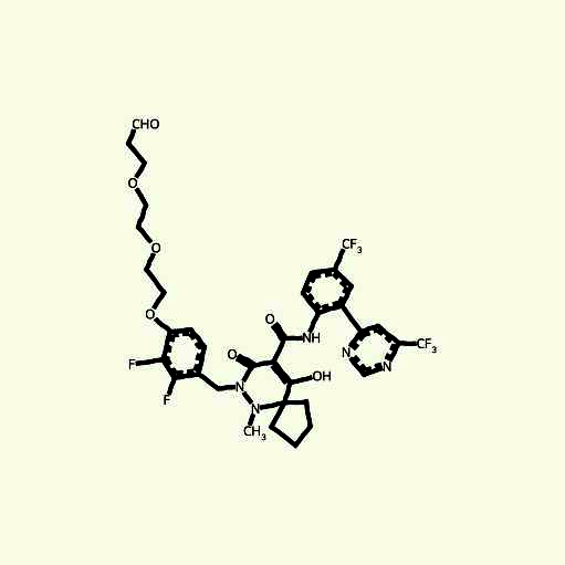 CN1N(Cc2ccc(OCCOCCOCCC=O)c(F)c2F)C(=O)C(C(=O)Nc2ccc(C(F)(F)F)cc2-c2cc(C(F)(F)F)ncn2)=C(O)C12CCCC2